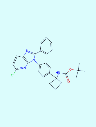 CC(C)(C)OC(=O)NC1(c2ccc(-n3c(-c4ccccc4)nc4ccc(Cl)nc43)cc2)CCC1